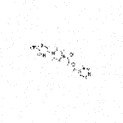 O=C(COCc1ccncc1)N1CCN(c2ccc(Cl)cn2)CC1